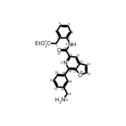 CCOC(=O)Cc1ccccc1NC(=O)c1cc2ccoc2c(-c2cccc(CN)c2)n1